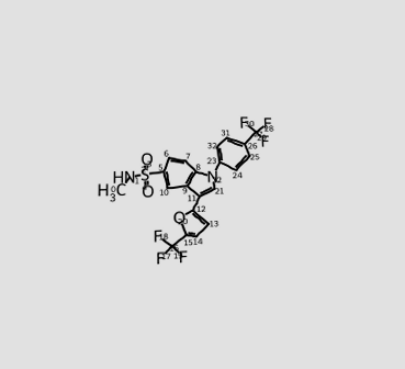 CNS(=O)(=O)c1ccc2c(c1)c(-c1ccc(C(F)(F)F)o1)cn2-c1ccc(C(F)(F)F)cc1